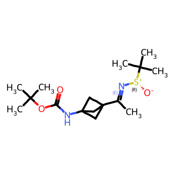 C/C(=N\[S@@+]([O-])C(C)(C)C)C12CC(NC(=O)OC(C)(C)C)(C1)C2